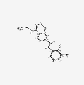 CCNC1=CCOc2cc(OCc3cccc(Br)c3Cl)ccc21